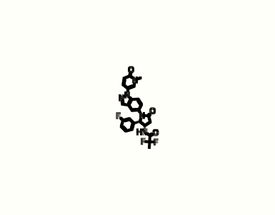 Cn1cc(-n2ncc3cc(N4C(=O)C[C@H](NC(=O)C(C)(F)F)[C@H]4c4cccc(F)c4)ccc32)ccc1=O